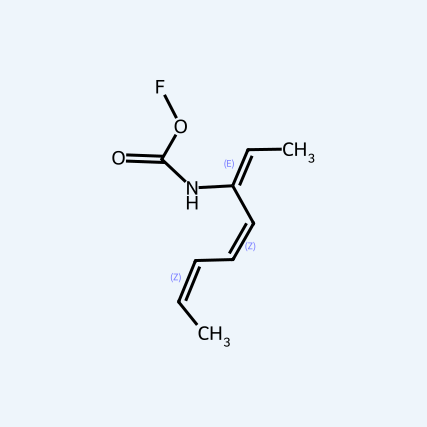 C\C=C/C=C\C(=C/C)NC(=O)OF